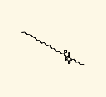 CCCCCCCCC=CCCCCCCCC(=O)NNC(=O)CCCCC